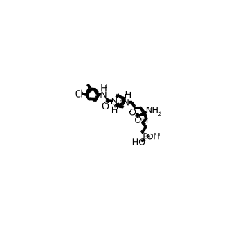 Cc1cc(NC(=O)N2C[C@H]3C[C@@H]2CN3CCCC(N)(CCCCB(O)O)C(=O)O)ccc1Cl